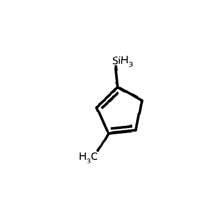 CC1=CCC([SiH3])=C1